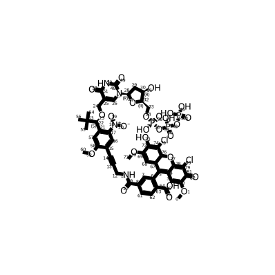 COC1=CC2=C(c3cc(C(=O)NCC#Cc4cc([N+](=O)[O-])c([C@@H](OCc5cn([C@H]6C[C@@H](O)[C@@H](COP(=O)(O)OP(=O)(O)OP(=O)(O)O)O6)c(=O)[nH]c5=O)C(C)(C)C)cc4OC)ccc3C(=O)O)C3C=C(OC)C(O)=C(Cl)C3OC2=C(Cl)C1=O